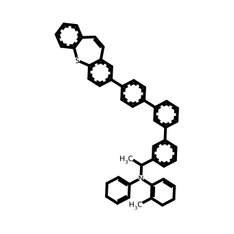 CC1=C(N(C2=CCCC=C2)C(C)c2cccc(-c3cccc(-c4ccc(-c5ccc6c(c5)C=Cc5ccccc5S6)cc4)c3)c2)C=CCC1